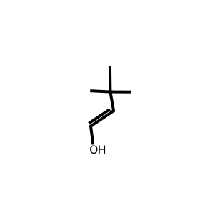 CC(C)(C)C=CO